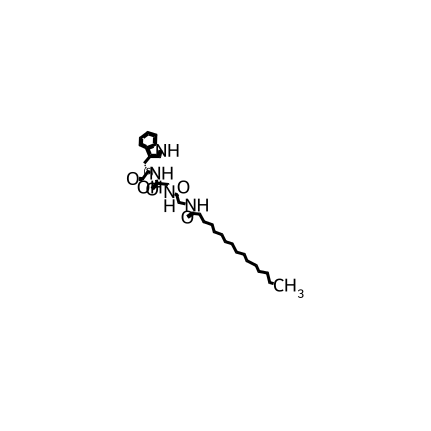 CCCCCCCCCCCCCCCC(=O)NCC(=O)NCC(=O)N[C@@H](Cc1c[nH]c2ccccc12)C(=O)O